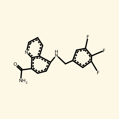 NC(=O)c1ccc(NCc2cc(F)c(F)c(F)c2)c2cccnc12